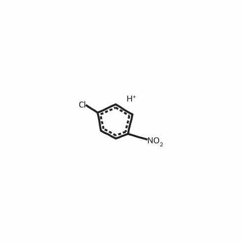 O=[N+]([O-])c1ccc(Cl)cc1.[H+]